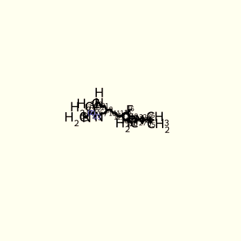 C=N/C=C(\C=N/CCC(CCCCc1cc(F)c(CC(=C)N2CC(C(=C)C)C2)c(F)c1)CCNC)CCC